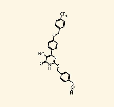 N#Cc1c(-c2ccc(OCc3ccc(C(F)(F)F)cc3)cc2)nc(SCc2ccc(N=[N+]=[N-])cc2)[nH]c1=O